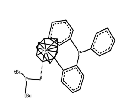 CC(C)(C)P(C[C@@]12[CH]3[CH]4[CH]5[C]1(c1ccccc1P(c1ccccc1)c1ccccc1)[Fe]45321678[CH]2[CH]1[CH]6[CH]7[CH]28)C(C)(C)C